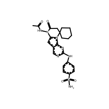 CC(=O)NN1C(=O)CC2(CCCCC2)n2c1cc1cnc(Nc3ccc(S(N)(=O)=O)cc3)nc12